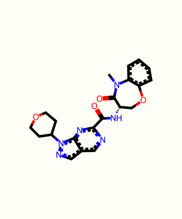 CN1C(=O)[C@@H](NC(=O)c2ncc3cnn(C4CCOCC4)c3n2)COc2ccccc21